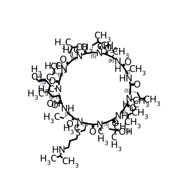 C/C=C/C[C@@H](C)[C@@H](O)[C@H]1C(=O)N[C@@H](CC)C(=O)N(C)[C@H](CSCCCNC(C)C)C(=O)N(C)[C@@H](CC(C)(C)O)C(=O)N[C@@H](C(C)C)C(=O)N(C)[C@@H](CC(C)C)C(=O)N[C@@H](C)C(=O)N[C@H](C)C(=O)N(C)[C@@H](CC(C)C)C(=O)N(C)[C@@H](CC(C)C)C(=O)N(C)[C@@H](C(C)C)C(=O)N1C